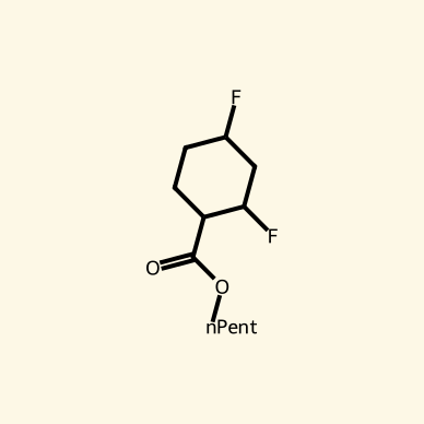 CCCCCOC(=O)C1CCC(F)CC1F